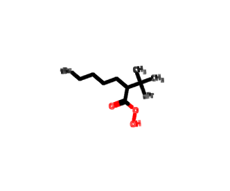 CCCC(C)(C)C(CCCCC(C)(C)C)C(=O)OO